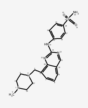 CN1CCN(Cc2cccc3cnc(Nc4ccc(S(N)(=O)=O)cc4)nc23)CC1